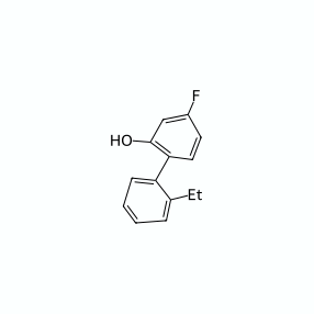 [CH2]Cc1ccccc1-c1ccc(F)cc1O